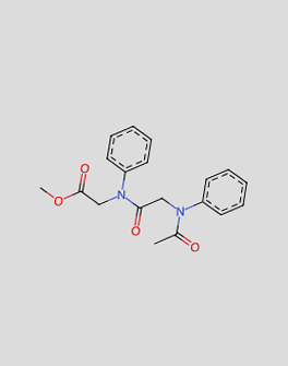 COC(=O)CN(C(=O)CN(C(C)=O)c1ccccc1)c1ccccc1